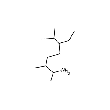 CCC(CCC(C)C(C)N)C(C)C